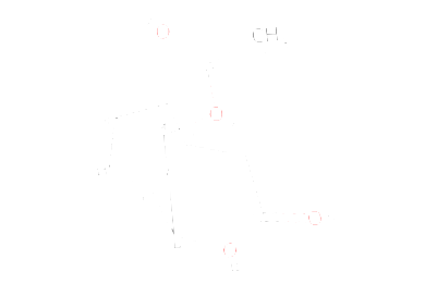 CC(=O)OC1C2CC3CC(=O)OC1C3C2